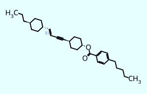 CCCCCc1ccc(C(=O)O[C@H]2CC[C@H](C#C/C=C/[C@H]3CC[C@H](CCC)CC3)CC2)cc1